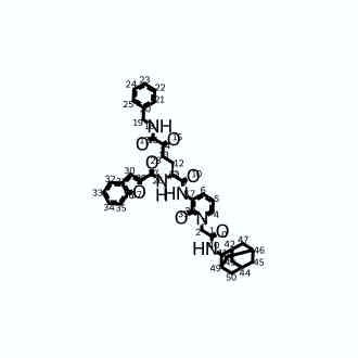 O=C(Cn1cccc(NC(=O)[C@H](CCC(=O)C(=O)NCc2ccccc2)NC(=O)c2cc3ccccc3o2)c1=O)NC1C2CC3CC(C2)CC1C3